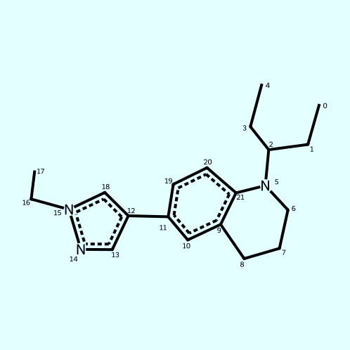 CCC(CC)N1CCCc2cc(-c3cnn(CC)c3)ccc21